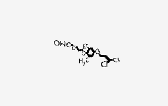 CCc1cc(OCC=C(Cl)Cl)cc(C)c1OCCCOCC=O